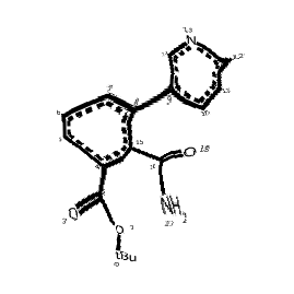 CC(C)(C)OC(=O)c1cccc(-c2cccnc2)c1C(N)=O